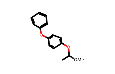 COC(C)Oc1ccc(Oc2ccccc2)cc1